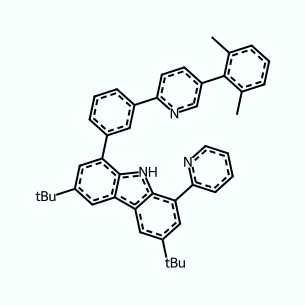 Cc1cccc(C)c1-c1ccc(-c2cccc(-c3cc(C(C)(C)C)cc4c3[nH]c3c(-c5ccccn5)cc(C(C)(C)C)cc34)c2)nc1